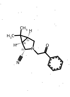 CC1(C)[C@@H]2[C@@H](C#N)N(CC(=O)c3ccccc3)C[C@@H]21